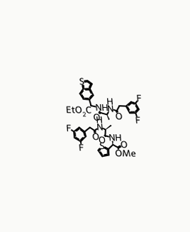 CCOC(=O)C(NC(=O)[C@H](C)NC(=O)Cc1cc(F)cc(F)c1)c1ccc2sccc2c1.COC(=O)[C@H](NC(=O)[C@H](C)NC(=O)Cc1cc(F)cc(F)c1)c1cccs1